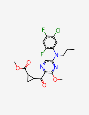 CCCN(c1cnc(C(=O)C2CC2C(=O)OC)c(OC)n1)c1cc(Cl)c(F)cc1F